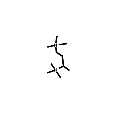 CC(CC[N+](C)(C)C)[N+](C)(C)C